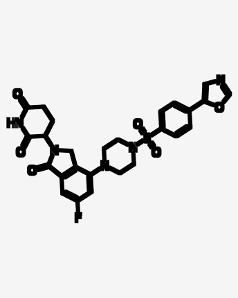 O=C1CCC(N2Cc3c(cc(F)cc3N3CCN(S(=O)(=O)c4ccc(-c5cnco5)cc4)CC3)C2=O)C(=O)N1